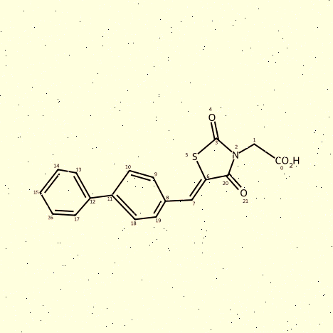 O=C(O)CN1C(=O)S/C(=C\c2ccc(-c3ccccc3)cc2)C1=O